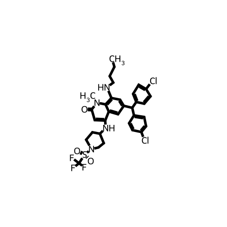 CCCCNc1cc(C(c2ccc(Cl)cc2)c2ccc(Cl)cc2)cc2c(NC3CCN(S(=O)(=O)C(F)(F)F)CC3)cc(=O)n(C)c12